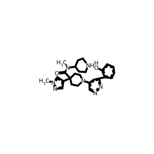 CN(C(=O)C1(c2cnn(C)c2)CCN(c2cnnc(-c3ccccc3O)c2)CC1)C1CCNCC1